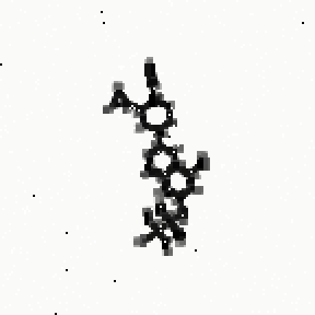 N#CB1CCN(c2cnc3nc(OS(=O)(=O)C(F)(F)F)cc(Cl)c3c2)CC1C1CC1